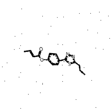 CC=CC(=O)Oc1ccc(-c2nnc(CCC)s2)cc1